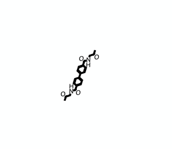 CC(=O)CNC(=O)c1ccc(-c2ccc(C(=O)NCC(C)=O)cc2)cc1